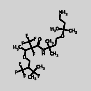 CC(OCC(C(C)(C)F)C(F)(F)F)C(F)(C(=O)NC(C)(C)CCOC(C)(C)CCN)C(F)(F)F